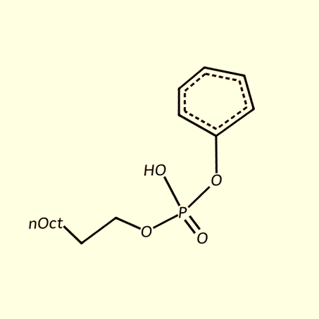 CCCCCCCCCCOP(=O)(O)Oc1ccccc1